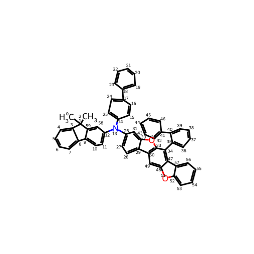 CC1(C)c2ccccc2-c2ccc(N(c3ccc(-c4ccccc4)cc3)c3ccc4c(c3)oc3c(-c5ccccc5-c5ccccc5)c5c(cc34)oc3ccccc35)cc21